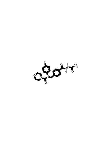 O=C(NNC(=O)C(F)(F)F)c1ccc(CN(C(=O)N2CCOCC2)c2ccc(F)cc2)cc1